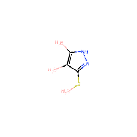 BSc1n[nH]c(B)c1B